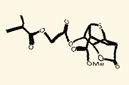 C=C(C)C(=O)OCC(=O)OC1C2OC(=O)C3C2SC1C3C(=O)OC